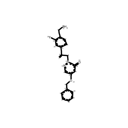 BCc1ccc(C(=C)Cn2ncc(OCc3ccccc3)cc2=O)cc1F